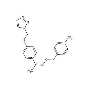 CC(=NOCc1ccc(C(F)(F)F)cc1)c1ccc(OCn2ccnn2)cc1